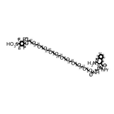 CCCN(OCCNC(=O)OCCOCCOCCOCCOCCOCCOCCOCCOCCOCCOCCC(=O)Oc1c(F)c(F)c(S(=O)(=O)O)c(F)c1F)C(=O)C1=Cc2ccccc2N=C(N)C1